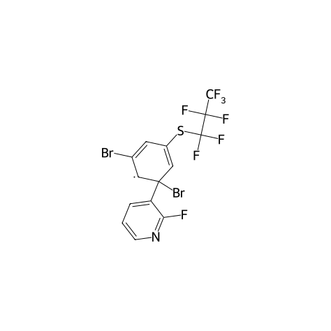 Fc1ncccc1C1(Br)[CH]C(Br)=CC(SC(F)(F)C(F)(F)C(F)(F)F)=C1